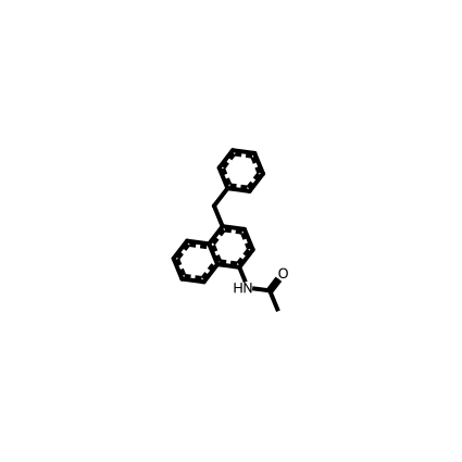 CC(=O)Nc1ccc(Cc2ccccc2)c2ccccc12